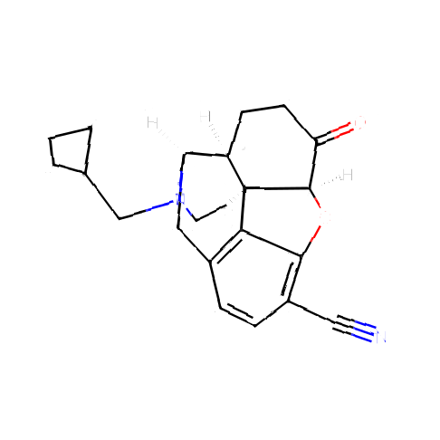 N#Cc1ccc2c3c1O[C@@H]1C(=O)CC[C@@H]4[C@H](C2)N(CC2CCC2)CC[C@@]314